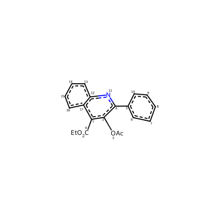 CCOC(=O)c1c(OC(C)=O)c(-c2ccccc2)nc2ccccc12